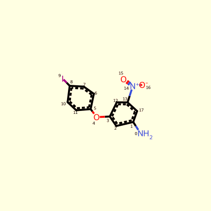 Nc1cc(Oc2ccc(I)cc2)cc([N+](=O)[O-])c1